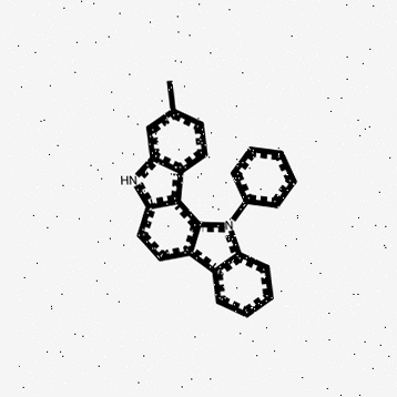 Cc1ccc2c(c1)[nH]c1ccc3c4ccccc4n(-c4ccccc4)c3c12